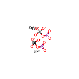 O=P(=O)O[Si]([O-])([O-])[O-].O=P(=O)O[Si]([O-])([O-])[O-].[Ca+2].[Sr+2].[Zn+2]